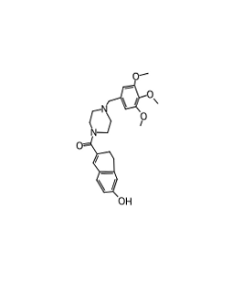 COc1cc(CN2CCN(C(=O)C3=Cc4ccc(O)cc4CC3)CC2)cc(OC)c1OC